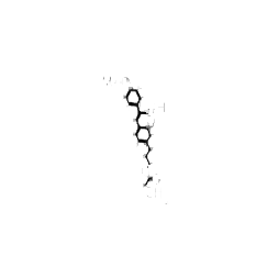 C=CC(=O)OCCCC1=CC=C2C=C(c3ccc(OC)cc3)C(O)OC2C1